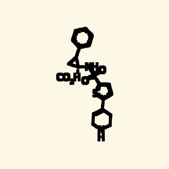 O=C(O)[C@]1(NS(=O)(=O)c2ccc(C3=CCNCC3)s2)CC1c1ccccc1